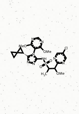 COc1ncnc(OC)c1-n1c(NS(=O)(=O)C(C)C(OC)c2ncc(Cl)cn2)nnc1[C@H]1CC12CC2